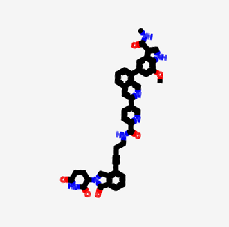 CNC(=O)c1c[nH]c2c(OC)cc(-c3cccc4cc(-c5ccc(C(=O)NCCC#Cc6cccc7c6CN(C6CCC(=O)NC6=O)C7=O)nc5)ncc34)cc12